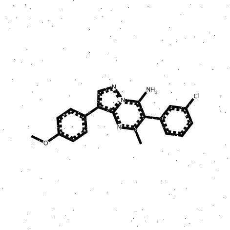 COc1ccc(-c2cnn3c(N)c(-c4cccc(Cl)c4)c(C)nc23)cc1